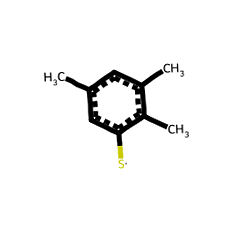 Cc1cc(C)c(C)c([S])c1